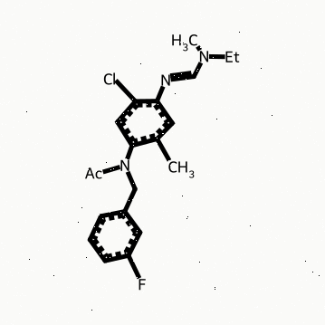 CCN(C)C=Nc1cc(C)c(N(Cc2cccc(F)c2)C(C)=O)cc1Cl